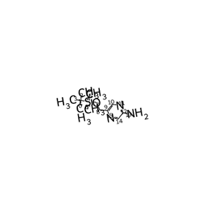 CC(C)(C)[Si](C)(C)OCc1cnc(N)cn1